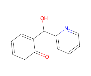 O=C1CC=CC=C1C(O)c1ccccn1